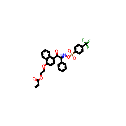 C=CC(=O)OCCOc1ccc(C(=O)/C(=N/OS(=O)(=O)c2ccc(C(F)(F)F)cc2)c2ccccc2)c2ccccc12